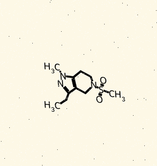 CCc1nn(C)c2c1CN(S(C)(=O)=O)CC2